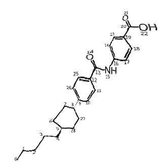 CCCCC[C@H]1CC[C@H](c2ccc(C(=O)Nc3ccc(C(=O)O)cc3)cc2)CC1